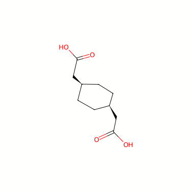 O=C(O)C[C@H]1CC[C@@H](CC(=O)O)CC1